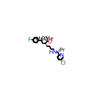 COC(=O)[C@@H](CCCCN[C@@H](c1ccc(Cl)cn1)C(C)C)C[C@@H](OC)c1ccc(F)cc1